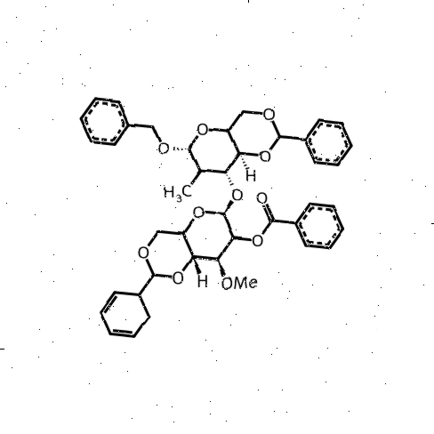 CO[C@@H]1C(OC(=O)c2ccccc2)[C@H](O[C@@H]2C(C)[C@H](OCc3ccccc3)OC3COC(c4ccccc4)O[C@H]32)OC2COC(C3C=CC=CC3)O[C@H]21